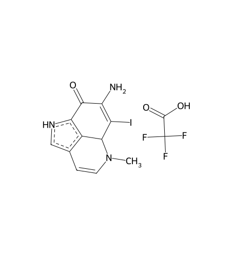 CN1C=Cc2c[nH]c3c2C1C(I)=C(N)C3=O.O=C(O)C(F)(F)F